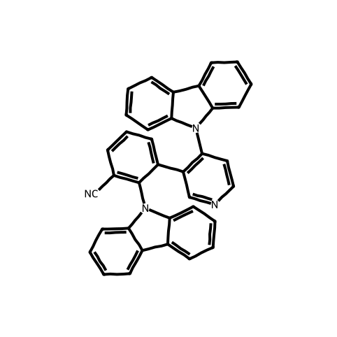 N#Cc1cccc(-c2cnccc2-n2c3ccccc3c3ccccc32)c1-n1c2ccccc2c2ccccc21